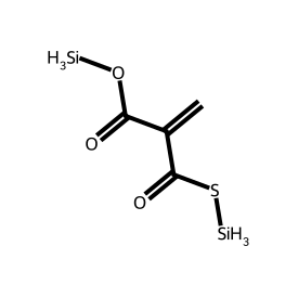 C=C(C(=O)O[SiH3])C(=O)S[SiH3]